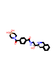 O=C(NC[C@@H](O)[C@@H]1Cc2ccccc2CN1)c1ccc(C(=O)N2CCS(O)(O)CC2)cc1